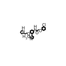 Cn1nccc1-c1cc(NC(=O)COc2cccc(Cl)c2)ccc1OCCC1CCCN1